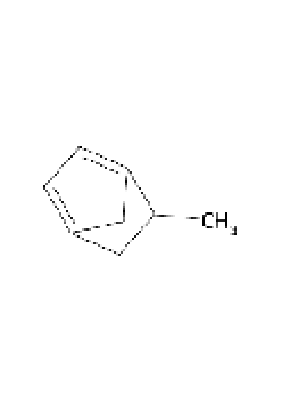 CC1CC2=CC=C1C2